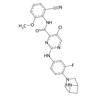 COc1cccc(C#N)c1NC(=O)c1nc(Nc2ccc(N3CC4CC(C3)N4)c(F)c2)ncc1Cl